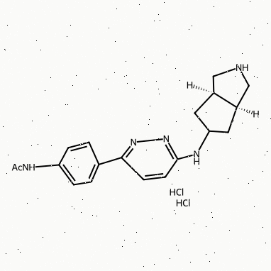 CC(=O)Nc1ccc(-c2ccc(NC3C[C@H]4CNC[C@H]4C3)nn2)cc1.Cl.Cl